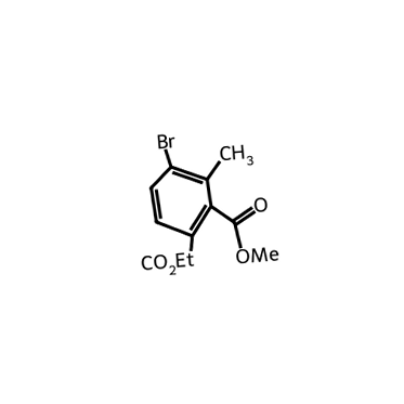 CCOC(=O)c1ccc(Br)c(C)c1C(=O)OC